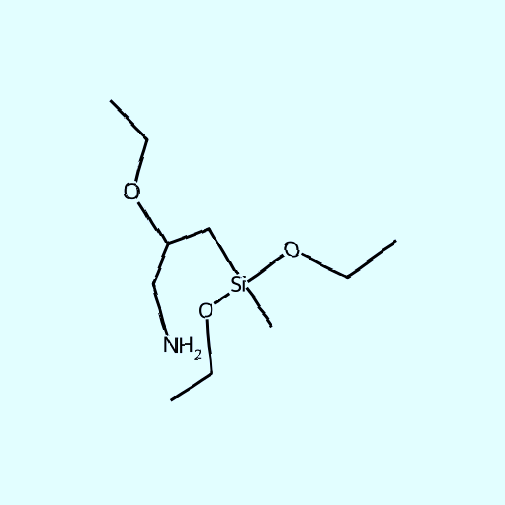 CCOC(CN)C[Si](C)(OCC)OCC